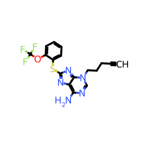 C#CCCCn1cnc(N)c2nc(Sc3ccccc3OC(F)(F)F)nc1-2